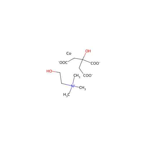 C[N+](C)(C)CCO.O=C([O-])CC(O)(CC(=O)[O-])C(=O)[O-].[Co]